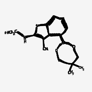 CC1(C)COB(c2cccc3sc(NC(=O)O)c(C#N)c23)OC1